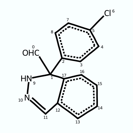 O=CC1(c2ccc(Cl)cc2)NN=Cc2ccccc21